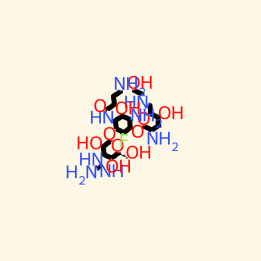 N=C(N)N[C@@H]1C(O)[C@@H](CO)OC(OC2C(F)[C@H](O[C@H]3OC(CNCCO)[C@@H](O)CC3N)C(N)C[C@H]2NC(=O)[C@@H](O)CCN)[C@@H]1O